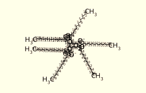 CCCCCCCCCCCCCCC[S+]([O-])c1cc2c3cc([S+]([O-])CCCCCCCCCCCCCCC)c([S+]([O-])CCCCCCCCCCCCCCC)cc3c3cc([S+]([O-])CCCCCCCCCCCCCCC)c([S+]([O-])CCCCCCCCCCCCCCC)cc3c2cc1[S+]([O-])CCCCCCCCCCCCCCC